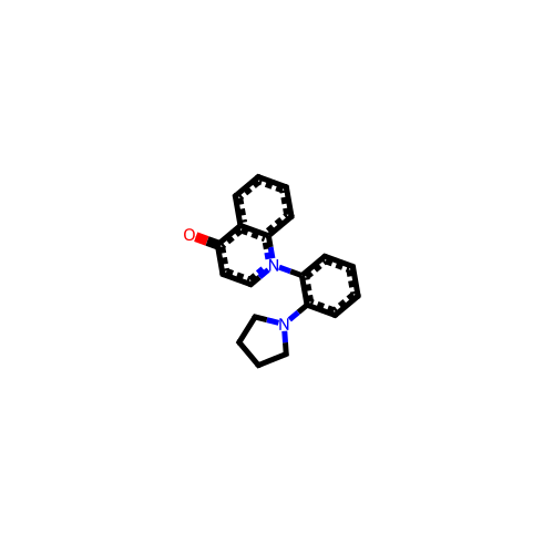 O=c1ccn(-c2ccccc2N2CCCC2)c2ccccc12